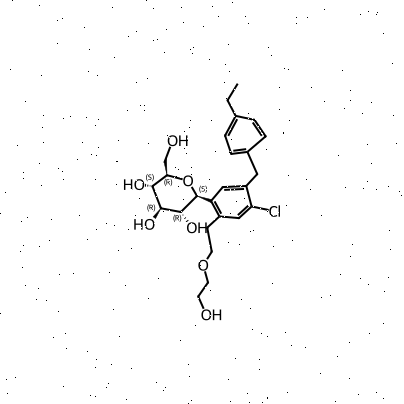 CCc1ccc(Cc2cc([C@@H]3O[C@H](CO)[C@@H](O)[C@H](O)[C@H]3O)c(CCOCCO)cc2Cl)cc1